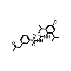 CC(=O)Cc1cccc(S(=O)(=O)NC(=O)Nc2c(C(C)C)cc(Cl)cc2C(C)C)c1